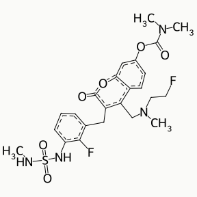 CNS(=O)(=O)Nc1cccc(Cc2c(CN(C)CCF)c3ccc(OC(=O)N(C)C)cc3oc2=O)c1F